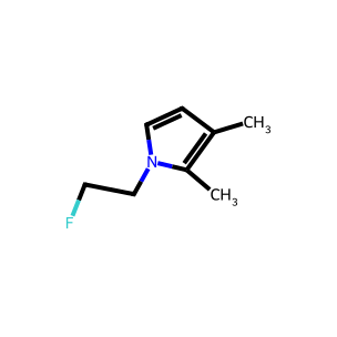 Cc1ccn(CCF)c1C